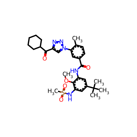 COc1c(NC(=O)c2ccc(C)c(-n3cc(C(=O)C4CCCCC4)nn3)c2)cc(C(C)(C)C)cc1NS(C)(=O)=O